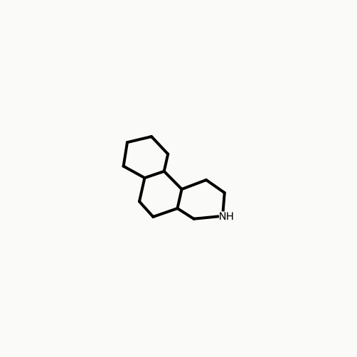 C1CCC2C(C1)CCC1CNCCC12